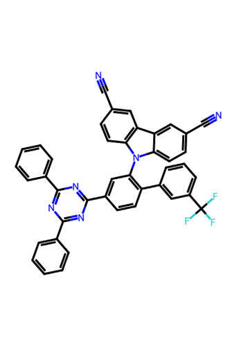 N#Cc1ccc2c(c1)c1cc(C#N)ccc1n2-c1cc(-c2nc(-c3ccccc3)nc(-c3ccccc3)n2)ccc1-c1cccc(C(F)(F)F)c1